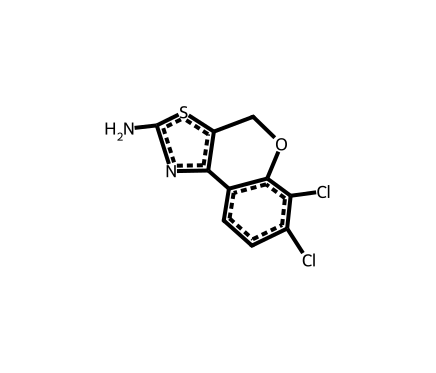 Nc1nc2c(s1)COc1c-2ccc(Cl)c1Cl